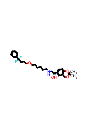 CC1(C)OCc2cc([C@H](O)CNCCCCCCOCCCC(F)(F)c3ccccc3)ccc2O1